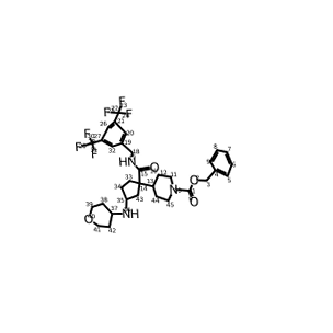 O=C(OCc1ccccc1)N1CCC(C2(C(=O)NCc3cc(C(F)(F)F)cc(C(F)(F)F)c3)CCC(NC3CCOCC3)C2)CC1